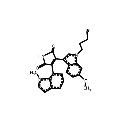 COc1ccc2c(C3=C(c4cccc5ccn(C)c45)C(=O)NC3=O)cn(CCCBr)c2c1